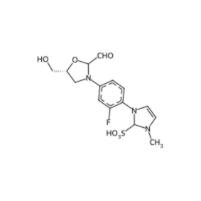 CN1C=CN(c2ccc(N3C[C@H](CO)OC3C=O)cc2F)C1S(=O)(=O)O